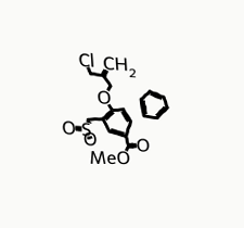 C=C(CCl)COc1ccc(C(=O)OC)cc1C=S(=O)=O.c1ccccc1